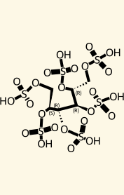 O=S(=O)(O)OC[C@H](OS(=O)(=O)O)[C@@H](OS(=O)(=O)O)[C@H](OS(=O)(=O)O)[C@@H](COS(=O)(=O)O)OS(=O)(=O)O